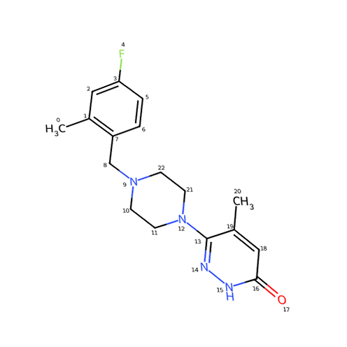 Cc1cc(F)ccc1CN1CCN(c2n[nH]c(=O)cc2C)CC1